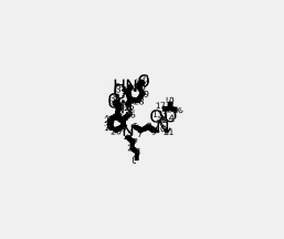 CCCCCN(CCCCN(C)C(=O)OC(C)(C)C)c1cccc2c1CN(C1CCC(=O)NC1=O)C2=O